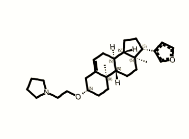 C[C@]12CC[C@H]3[C@@H](CC=C4C[C@@H](OCCN5CCCC5)CC[C@@]43C)[C@@H]1CC[C@@H]2c1ccoc1